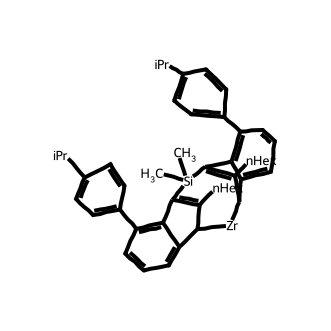 CCCCCCC1=C2c3c(-c4ccc(C(C)C)cc4)cccc3[CH]1[Zr][CH]1C(CCCCCC)=C(c3c(-c4ccc(C(C)C)cc4)cccc31)[Si]2(C)C